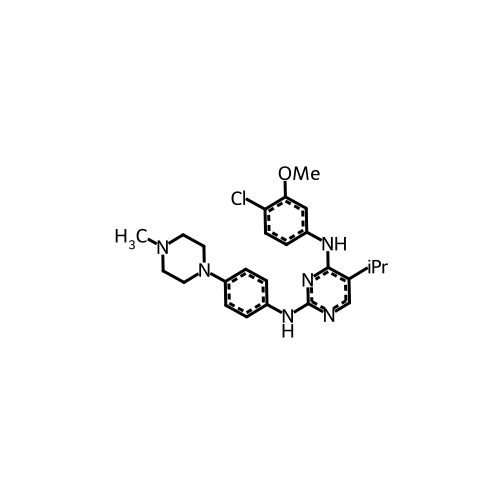 COc1cc(Nc2nc(Nc3ccc(N4CCN(C)CC4)cc3)ncc2C(C)C)ccc1Cl